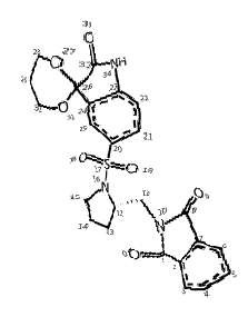 O=C1c2ccccc2C(=O)N1C[C@@H]1CCCN1S(=O)(=O)c1ccc2c(c1)C1(OCCCO1)C(=O)N2